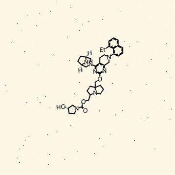 CCc1cccc2cccc(N3CCc4c(nc(OCC56CCCN5C(COC(=O)N5CC[C@H](O)C5)CC6)nc4N4C[C@H]5CC[C@@H](C4)N5)C3)c12